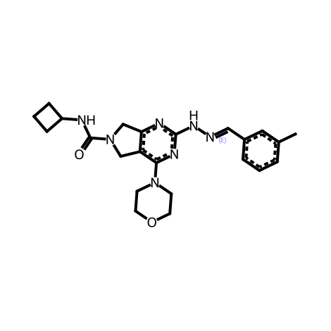 Cc1cccc(/C=N/Nc2nc3c(c(N4CCOCC4)n2)CN(C(=O)NC2CCC2)C3)c1